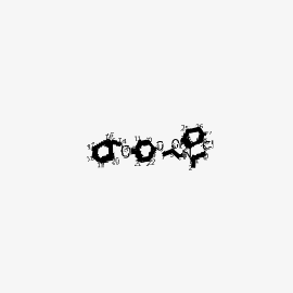 CC(C)N(CC(O)COc1ccc(OCc2ccccc2)cc1)c1ccccc1Cl